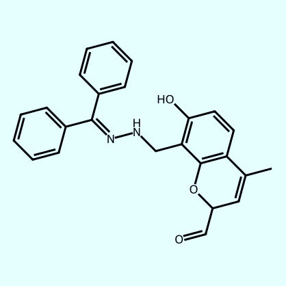 CC1=CC(C=O)Oc2c1ccc(O)c2CNN=C(c1ccccc1)c1ccccc1